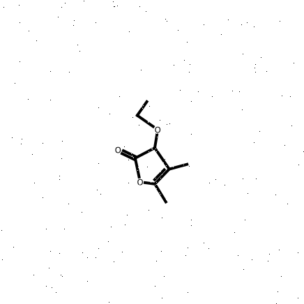 CCOC1C(=O)OC(C)=C1C